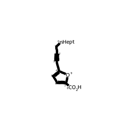 CCCCCCCCC#Cc1ccc(C(=O)O)o1